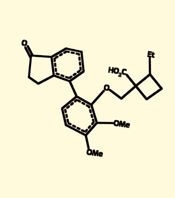 CCC1CCC1(COc1c(-c2cccc3c2CCC3=O)ccc(OC)c1OC)C(=O)O